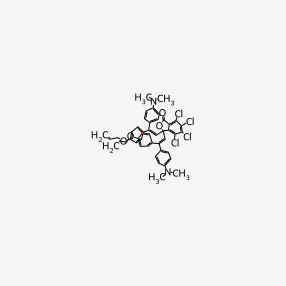 C=CCOc1ccc(C(=CC2(C=C(c3ccc(OCC=C)cc3)c3ccc(N(C)C)cc3)OC(=O)c3c(Cl)c(Cl)c(Cl)c(Cl)c32)c2ccc(N(C)C)cc2)cc1